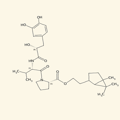 CC(C)[C@H](NC(=O)[C@H](O)Cc1ccc(O)c(O)c1)C(=O)N1CCC[C@H]1C(=O)OCCC1CCC2(C)C1C2(C)C